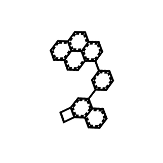 c1cc(-c2cc3c(c4ccccc24)CC3)cc(-c2ccc3ccc4cccc5ccc2c3c45)c1